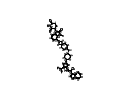 Cn1c(=O)n(C2CCC(=O)NC2=O)c2cccc(N3CC4(CCN(C[C@H]5CC[C@H](n6cc(NC(=O)c7cnn8cccnc78)c(C(F)F)n6)CC5)CC4)C3)c21